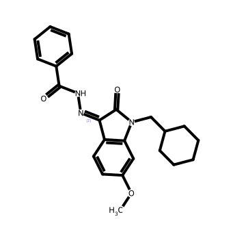 COc1ccc2c(c1)N(CC1CCCCC1)C(=O)/C2=N\NC(=O)c1ccccc1